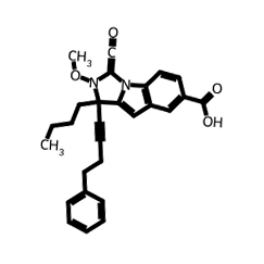 CCCCC1(C#CCCc2ccccc2)c2cc3cc(C(=O)O)ccc3n2C(=C=O)N1OC